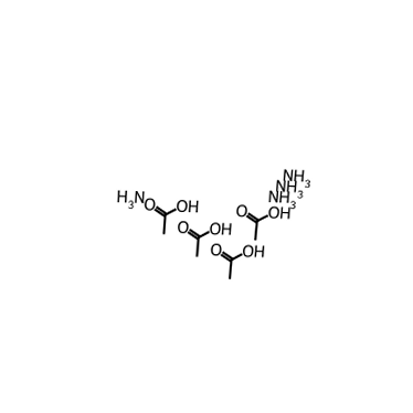 CC(=O)O.CC(=O)O.CC(=O)O.CC(=O)O.N.N.N.N